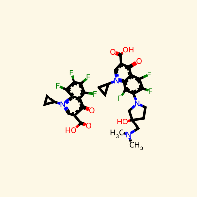 CN(C)CC1(O)CCN(c2c(F)c(F)c3c(=O)c(C(=O)O)cn(C4CC4)c3c2F)C1.O=C(O)c1cn(C2CC2)c2c(F)c(F)c(F)c(F)c2c1=O